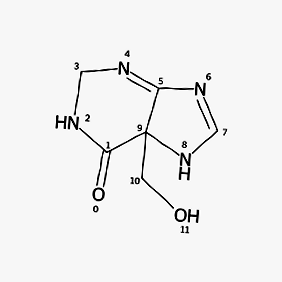 O=C1NCN=C2N=CNC12CO